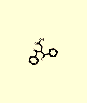 O=C(O)CC(C(=O)c1ccccc1)C(=O)c1ccccc1